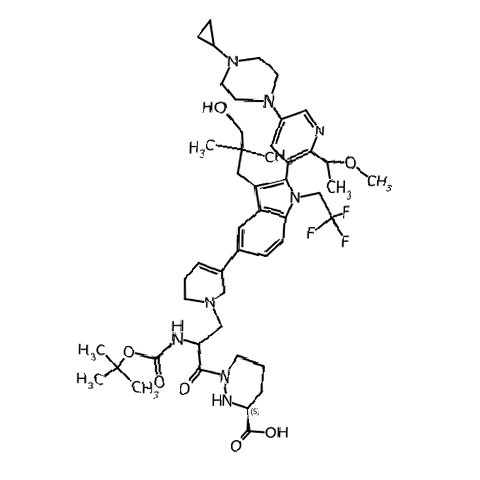 COC(C)c1ncc(N2CCN(C3CC3)CC2)cc1-c1c(CC(C)(C)CO)c2cc(C3=CCCN(CC(NC(=O)OC(C)(C)C)C(=O)N4CCC[C@@H](C(=O)O)N4)C3)ccc2n1CC(F)(F)F